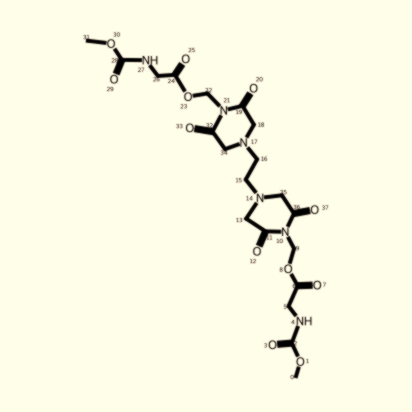 COC(=O)NCC(=O)OCN1C(=O)CN(CCN2CC(=O)N(COC(=O)CNC(=O)OC)C(=O)C2)CC1=O